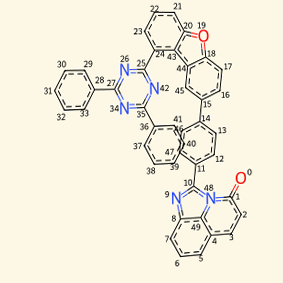 O=c1ccc2cccc3nc(-c4ccc(-c5ccc6oc7cccc(-c8nc(-c9ccccc9)nc(-c9ccccc9)n8)c7c6c5)cc4)n1c23